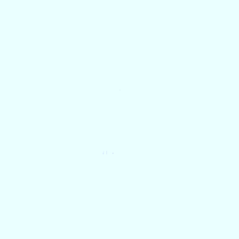 CCCCCCCCCC(C)CC(P)CC